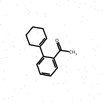 CC(=O)c1ccccc1C1=CCCCC1